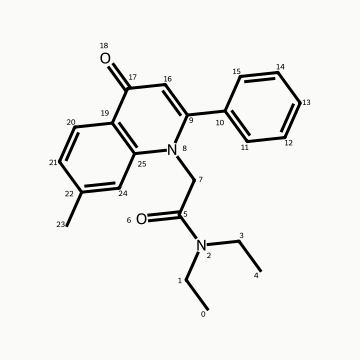 CCN(CC)C(=O)Cn1c(-c2ccccc2)cc(=O)c2ccc(C)cc21